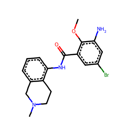 COc1c(N)cc(Br)cc1C(=O)Nc1cccc2c1CCN(C)C2